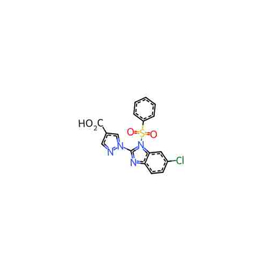 O=C(O)c1cnn(-c2nc3ccc(Cl)cc3n2S(=O)(=O)c2ccccc2)c1